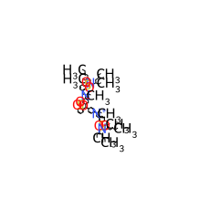 CCCCC(CC)CN(CC(CC)CCCC)S(=O)(=O)c1cccc(CN(CC)c2ccc(C(=C3C=CC(=[N+](CC)Cc4cccc(S(=O)(=O)N(CC(CC)CCCC)CC(CC)CCCC)c4)C=C3)c3ccccc3S(=O)(=O)[O-])cc2)c1